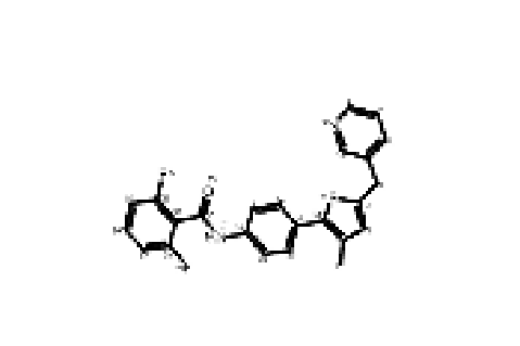 Cc1cc(Cc2cccnc2)sc1-c1ccc(NC(=O)c2c(F)cccc2F)cc1